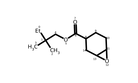 CCC(C)(C)COC(=O)C1CCC2OC2C1